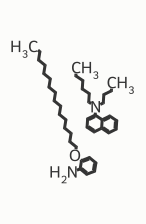 CCCCCCCCCCCCCCCCOc1ccccc1N.CCCCCCN(CCCC)c1cccc2ccccc12